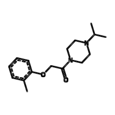 Cc1ccccc1OCC(=O)N1CCN(C(C)C)CC1